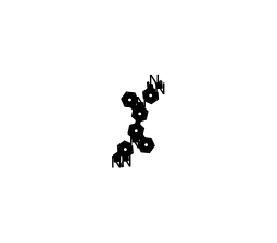 c1ccc2c(c1)c1cc(-c3ccc4c(c3)c3ccccc3n4-c3ccc4cncnc4c3)ccc1n2-c1ccc2ncncc2c1